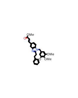 COC(=O)/C=C/c1ccc2c(c1)nc(CCc1ccccc1)n2Cc1cc(OC)c(OC)c(OC)c1